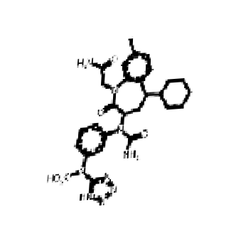 Cc1ccc2c(c1)N(CC(N)=O)C(=O)C(N(C(N)=O)c1cccc(N(C(=O)O)c3nnn[nH]3)c1)CC2C1CCCCC1